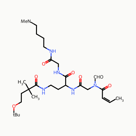 C/C=C\C(=O)N(C=O)CC(=O)NC(CCNC(=O)C(C)(C)CCOC(C)(C)C)C(=O)NCC(=O)NCCCCNC